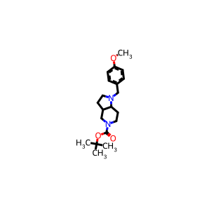 COc1ccc(CN2CCC3CN(C(=O)OC(C)(C)C)CCC32)cc1